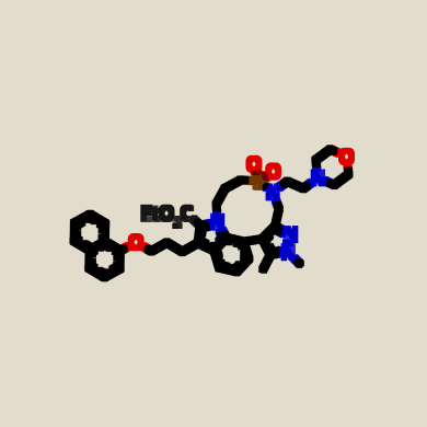 CCOC(=O)c1c(CCCOc2cccc3ccccc23)c2cccc3c2n1CCCS(=O)(=O)N(CCN1CCOCC1)Cc1nn(C)c(C)c1-3